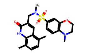 Cc1ccc(C)c2[nH]c(=O)c(CN(C(C)C)S(=O)(=O)c3ccc4c(c3)OCCN4C)cc12